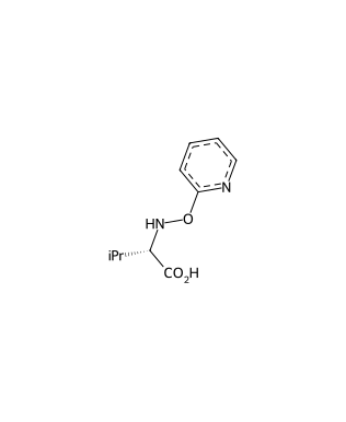 CC(C)[C@H](NOc1ccccn1)C(=O)O